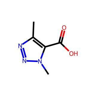 Cc1nnn(C)c1C(=O)O